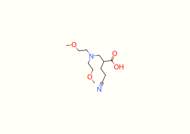 COCCN(CCOC)CC(CCC#N)C(=O)O